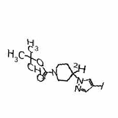 [2H]C1(n2cc(I)cn2)CCN(C(=O)OC(C)(C)C)CC1